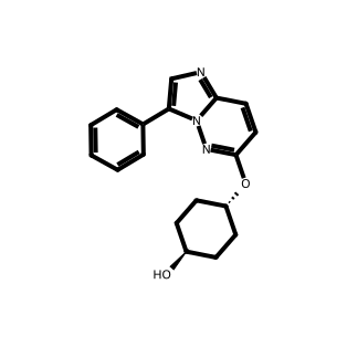 O[C@H]1CC[C@H](Oc2ccc3ncc(-c4ccccc4)n3n2)CC1